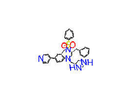 O=S(=O)(c1ccccc1)N1Cc2cc(-c3ccncc3)ccc2N(C[C@H]2CNCN2)C=C1Cc1ccccc1